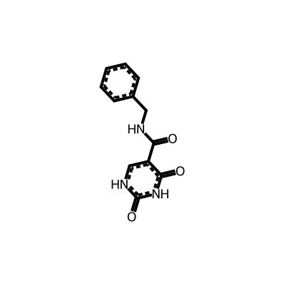 O=C(NCc1ccccc1)c1c[nH]c(=O)[nH]c1=O